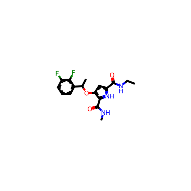 CCNC(=O)c1cc(OC(C)c2cccc(F)c2F)c(C(=O)NC)[nH]1